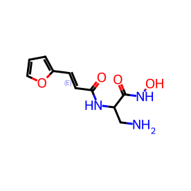 NCC(NC(=O)/C=C/c1ccco1)C(=O)NO